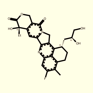 CC[C@@]1(O)C(=O)OCc2c1cc1n(c2=O)Cc2c-1nc1cc(F)c(C)c3c1c2[C@H](C[C@H](O)CO)CC3